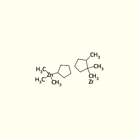 CC1CCCC1(C)C.[CH3][Zn]([CH3])([CH3])[CH]1CCCC1.[Zr]